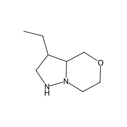 CCC1CNN2CCOCC12